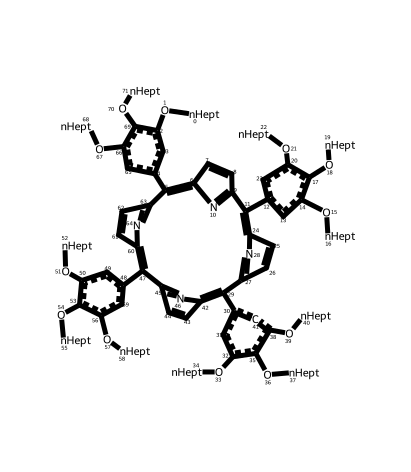 CCCCCCCOc1cc(C2=C3C=CC(=N3)C(c3cc(OCCCCCCC)c(OCCCCCCC)c(OCCCCCCC)c3)=C3C=CC(=N3)C(c3cc(OCCCCCCC)c(OCCCCCCC)c(OCCCCCCC)c3)=C3C=CC(=N3)C(c3cc(OCCCCCCC)c(OCCCCCCC)c(OCCCCCCC)c3)=C3C=CC2=N3)cc(OCCCCCCC)c1OCCCCCCC